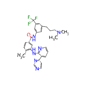 Cc1ccc(C(=O)Nc2cc(CCCN(C)C)cc(C(F)(F)F)c2)cc1Nc1ncccc1-c1ccncn1